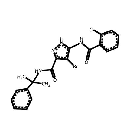 CC(C)(NC(=O)c1n[nH]c(NC(=O)c2ccccc2Cl)c1Br)c1ccccc1